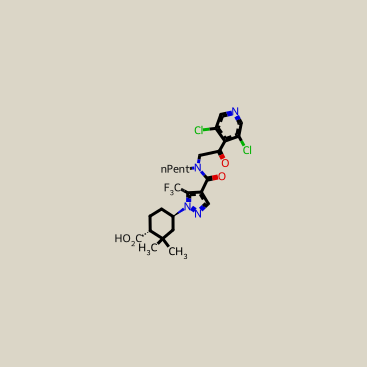 CCCCCN(CC(=O)c1c(Cl)cncc1Cl)C(=O)c1cnn([C@@H]2CC[C@@H](C(=O)O)C(C)(C)C2)c1C(F)(F)F